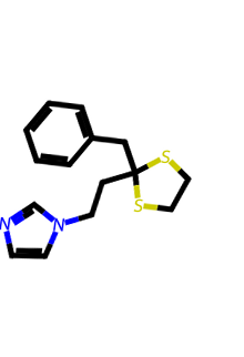 c1ccc(CC2(CCn3ccnc3)SCCS2)cc1